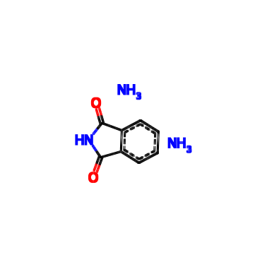 N.N.O=C1NC(=O)c2ccccc21